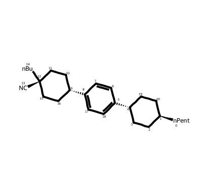 CCCCC[C@H]1CC[C@H](c2ccc([C@H]3CC[C@@](C#N)(CCCC)CC3)cc2)CC1